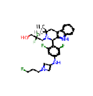 CC1(C)Cc2c([nH]c3ccccc23)C(c2c(F)cc(NC3CN(CCCF)C3)cc2F)N1CC(F)(F)CO